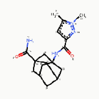 Cc1cc(C(=O)NC23CC4CC(C2)CC(C(N)=O)(C4)C3)nn1C